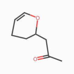 CC(=O)CC1CCC=CO1